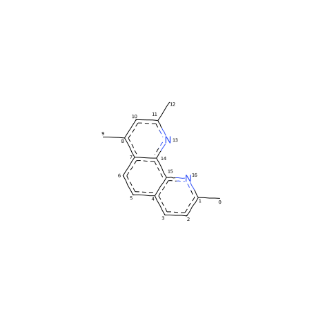 Cc1ccc2ccc3c(C)cc(C)nc3c2n1